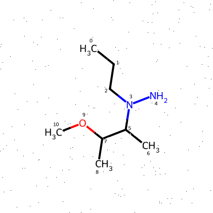 CCCN(N)C(C)C(C)OC